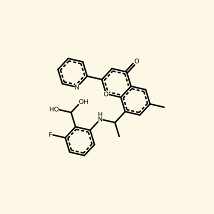 Cc1cc(C(C)Nc2cccc(F)c2C(O)O)c2oc(-c3ccccn3)cc(=O)c2c1